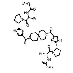 C=C(N[C@H](C(=O)N1CCC[C@H]1c1nc(C(=O)N2CCC3(CC2)CCN(C(=O)c2c[nH]c([C@@H]4CCCN4C(=O)[C@@H](NC(=O)OC)C(C)C)n2)CC3)c[nH]1)C(C)C)OC